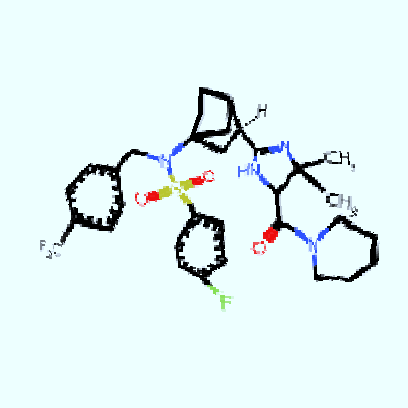 CC1(C)N=C([C@H]2CC3(N(Cc4ccc(C(F)(F)F)cc4)S(=O)(=O)c4ccc(F)cc4)CC2C3)NC1C(=O)N1CCCCC1